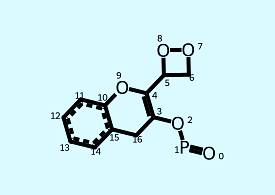 O=POC1=C(C2COO2)Oc2ccccc2C1